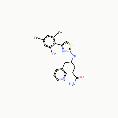 CC(C)c1cc(C(C)C)c(-c2csc(NC(CCC(N)=O)Cc3cccnc3)n2)c(C(C)C)c1